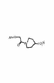 COCC(=O)N1CCC(C(=O)O)CC1